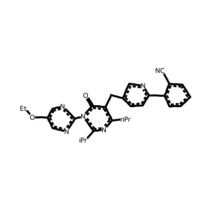 CCCc1nc(C(C)C)n(-c2ncc(OCC)cn2)c(=O)c1Cc1ccc(-c2ccccc2C#N)nc1